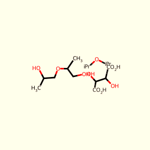 CC(C)OC(C)C.CC(O)COC(C)CO.O=C(O)C(O)C(O)C(=O)O